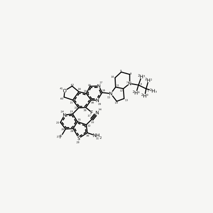 [2H]C([2H])([2H])C([2H])([2H])N1CCCC2C1CCN2c1ncc2c3c(c(-c4ncc(F)c5sc(N)c(C#N)c45)c(F)c2n1)COC3